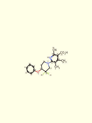 Cc1c(N2CCC(Oc3ccccc3)C(F)(F)C2)nc(C#N)c(C(=O)O)c1C